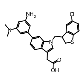 CN(C)c1cc(N)cc(-c2ccc3c(CC(=O)O)cn(CC4CSc5ccc(Cl)cc54)c3c2)c1